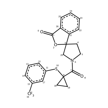 O=C1OC2(CCN(C(=O)C3(Sc4cccc(C(F)(F)F)c4)CC3)C2)c2ccccc21